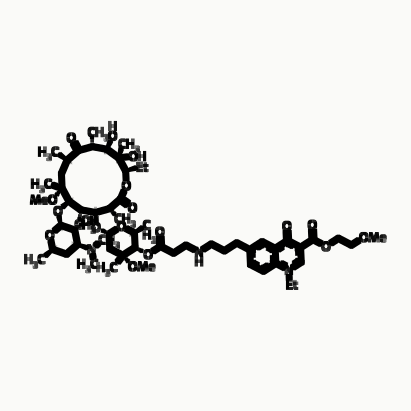 CC[C@H]1OC(=O)[C@H](C)[C@@H](O[C@H]2C[C@@](C)(OC)[C@@H](OC(=O)CCNCCCc3ccc4c(c3)c(=O)c(C(=O)OCCOC)cn4CC)[C@H](C)O2)[C@H](C)[C@@H](O[C@@H]2O[C@H](C)C[C@H](N(C)C)[C@H]2O)[C@](C)(OC)C[C@@H](C)C(=O)[C@H](C)[C@@H](O)[C@]1(C)O